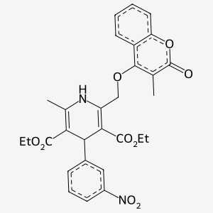 CCOC(=O)C1=C(C)NC(COc2c(C)c(=O)oc3ccccc23)=C(C(=O)OCC)C1c1cccc([N+](=O)[O-])c1